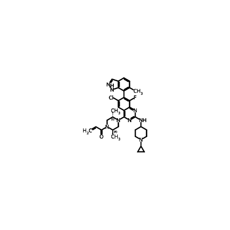 C=CC(=O)N1C[C@H](C)N(c2nc(NC3CCN(C4CC4)CC3)nc3c(F)c(-c4c(C)ccc5cn[nH]c45)c(Cl)cc23)C[C@H]1C